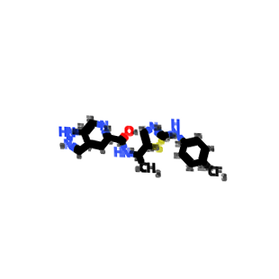 CC(NC(=O)c1cc2cn[nH]c2cn1)c1cnc(Nc2ccc(C(F)(F)F)cc2)s1